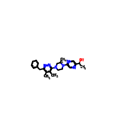 Cc1c(Cc2ccccc2)nnc(N2CCN(c3cnc(C(C)O)cn3)[C@H](C)C2)c1C